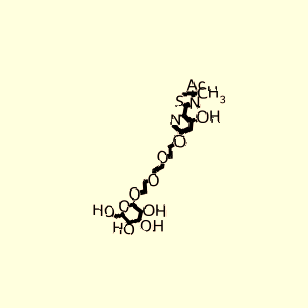 CC(=O)[C@@]1(C)CSC(c2ncc(OCCOCCOCCO[C@H]3OC(CO)[C@H](O)C(O)[C@H]3O)cc2O)=N1